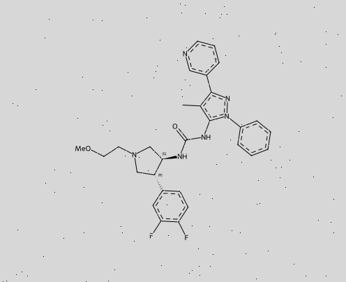 COCCN1C[C@@H](NC(=O)Nc2c(C)c(-c3cccnc3)nn2-c2ccccc2)[C@H](c2ccc(F)c(F)c2)C1